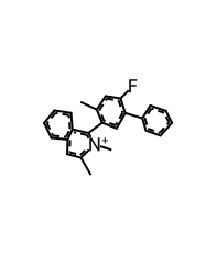 Cc1cc(F)c(-c2ccccc2)cc1-c1c2ccccc2cc(C)[n+]1C